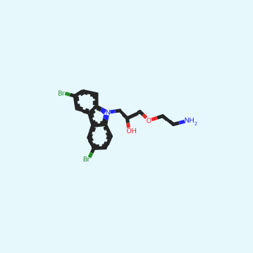 NCCOCC(O)Cn1c2ccc(Br)cc2c2cc(Br)ccc21